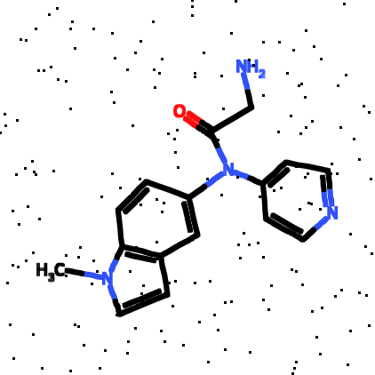 Cn1ccc2cc(N(C(=O)CN)c3ccncc3)ccc21